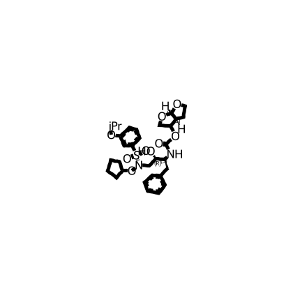 CC(C)Oc1cccc(S(=O)(=O)N(C[C@@H](O)[C@H](Cc2ccccc2)NC(=O)OC2CO[C@H]3OCC[C@@H]23)OC2CCCC2)c1